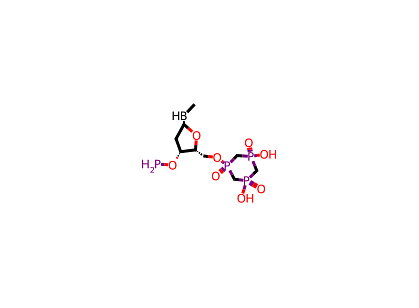 CB[C@H]1C[C@@H](OP)[C@@H](COP2(=O)CP(=O)(O)CP(=O)(O)C2)O1